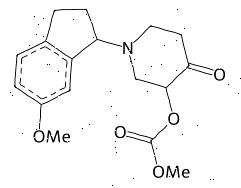 COC(=O)OC1CN(C2CCc3ccc(OC)cc32)CCC1=O